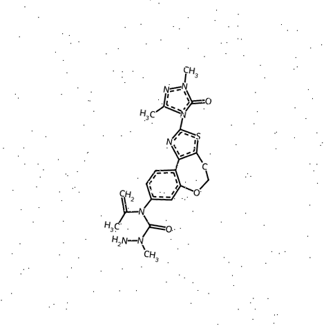 C=C(C)N(C(=O)N(C)N)c1ccc2c(c1)OCCc1sc(-n3c(C)nn(C)c3=O)nc1-2